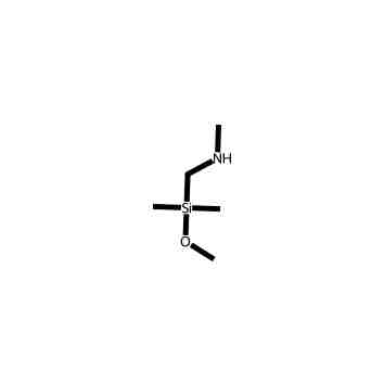 CNC[Si](C)(C)OC